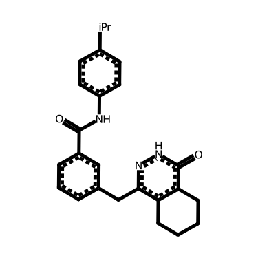 CC(C)c1ccc(NC(=O)c2cccc(Cc3n[nH]c(=O)c4c3CCCC4)c2)cc1